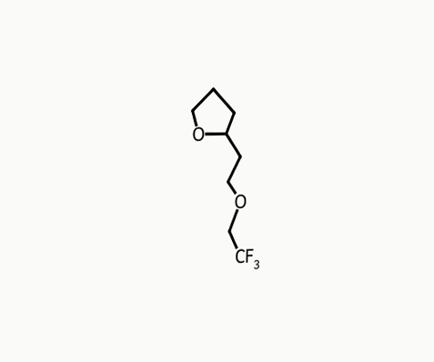 FC(F)(F)COCCC1CCCO1